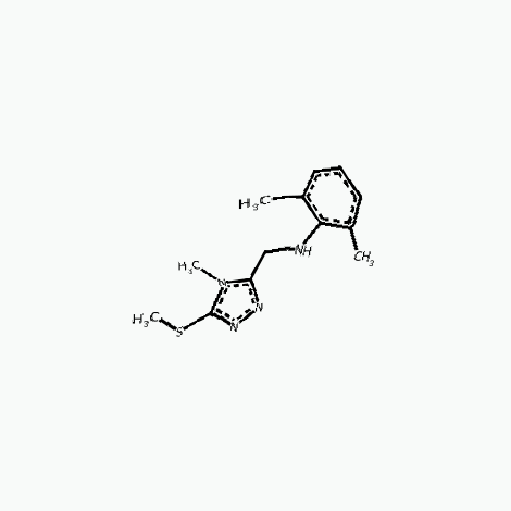 CSc1nnc(CNc2c(C)cccc2C)n1C